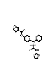 CC(C)(C(=O)Nc1nccs1)[C@@H](c1ccccc1)c1ccc(OC(=O)c2ccoc2)cc1